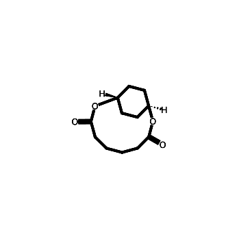 O=C1CCCCC(=O)O[C@H]2CC[C@@H](CC2)O1